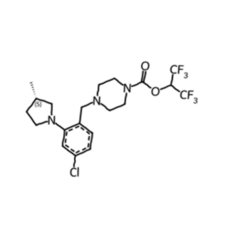 C[C@H]1CCN(c2cc(Cl)ccc2CN2CCN(C(=O)OC(C(F)(F)F)C(F)(F)F)CC2)C1